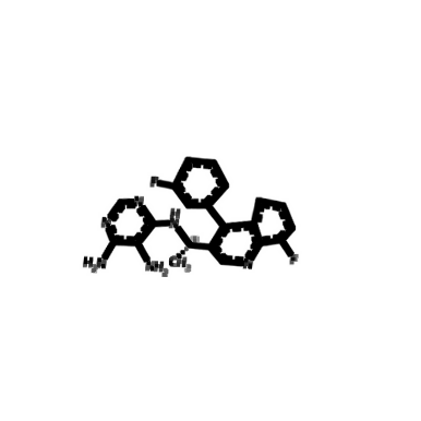 C[C@H](Nc1ncnc(N)c1N)c1cnc2c(F)cccc2c1-c1cccc(F)c1